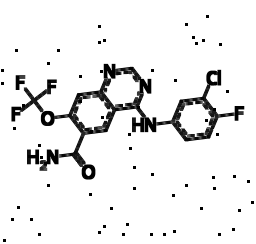 NC(=O)c1cc2c(Nc3ccc(F)c(Cl)c3)ncnc2cc1OC(F)(F)F